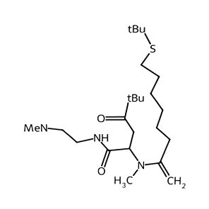 C=C(CCCCCCSC(C)(C)C)N(C)C(CC(=O)C(C)(C)C)C(=O)NCCNC